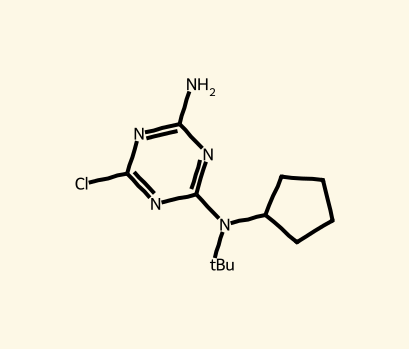 CC(C)(C)N(c1nc(N)nc(Cl)n1)C1CCCC1